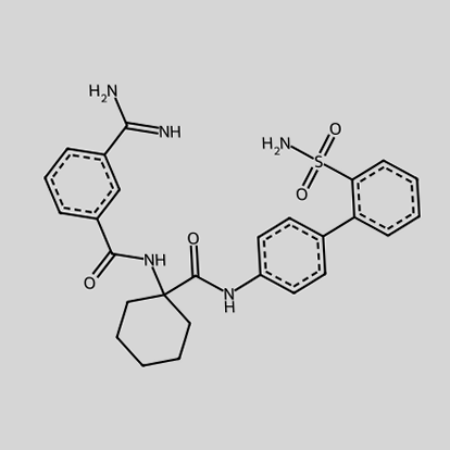 N=C(N)c1cccc(C(=O)NC2(C(=O)Nc3ccc(-c4ccccc4S(N)(=O)=O)cc3)CCCCC2)c1